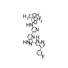 CC(C)(C)CC(=O)Nc1cncc(-c2ccc3[nH]nc(-c4cc5c(-c6cccc(F)c6)ccnc5[nH]4)c3n2)c1